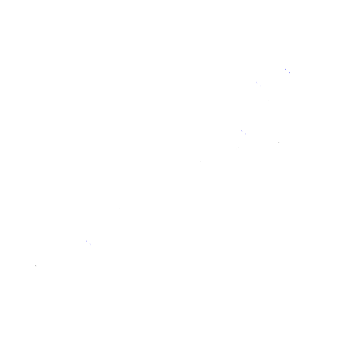 CCOC(=O)C(c1ncn2c1CCC2)N1Cc2c(F)cc(-c3ccc(C4CCN(C(=O)OC(C)(C)C)CC4)c(Cl)c3)cc2C1=O